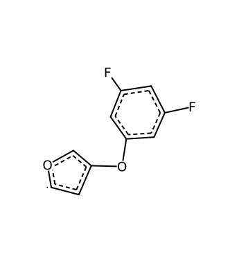 Fc1cc(F)cc(Oc2c[c]oc2)c1